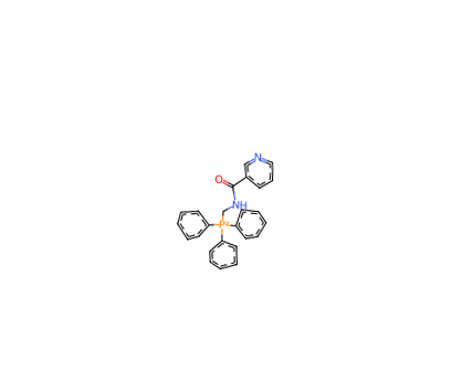 O=C(NC[P+](c1ccccc1)(c1ccccc1)c1ccccc1)c1cccnc1